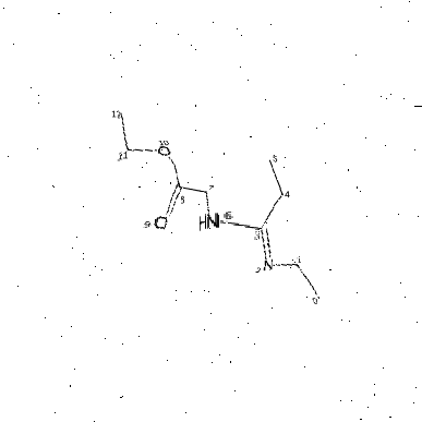 CC/N=C(\CC)NCC(=O)OCC